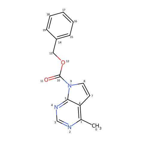 Cc1ncnc2c1ccn2C(=O)OCc1ccccc1